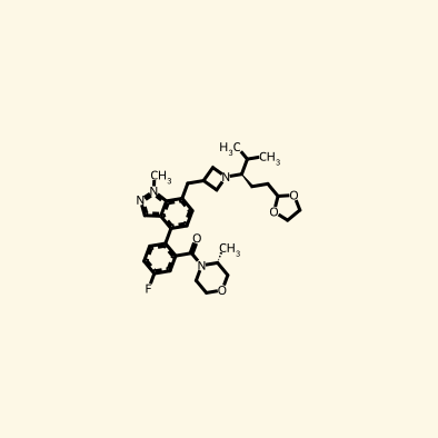 CC(C)[C@@H](CCC1OCCO1)N1CC(Cc2ccc(-c3ccc(F)cc3C(=O)N3CCOC[C@H]3C)c3cnn(C)c23)C1